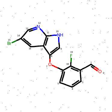 O=Cc1cccc(Oc2c[nH]c3ncc(Br)cc23)c1F